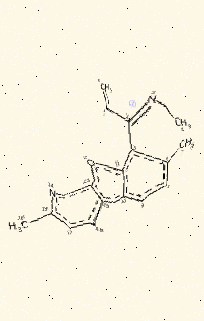 C=C/C(=N/C)c1c(C)ccc2c1oc1nc(C)ccc12